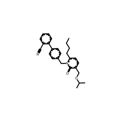 CCCCc1ccc(COC(C)C)c(=O)n1Cc1ccc(-c2ccccc2C#N)cc1